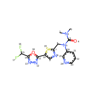 CN(C)C(=O)N(Cc1ncc(-c2nnc(C(F)F)o2)s1)c1cccnc1